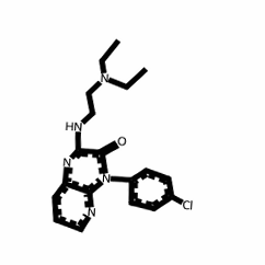 CCN(CC)CCNc1nc2cccnc2n(-c2ccc(Cl)cc2)c1=O